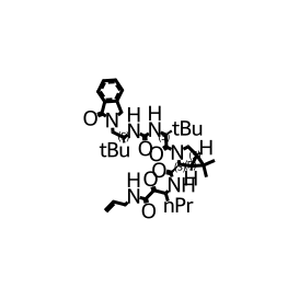 C=CCNC(=O)C(=O)C(CCC)NC(=O)[C@@H]1[C@@H]2[C@H](CN1C(=O)[C@@H](NC(=O)N[C@H](CN1Cc3ccccc3C1=O)C(C)(C)C)C(C)(C)C)C2(C)C